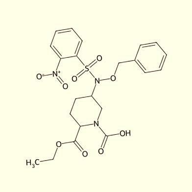 CCOC(=O)C1CCC(N(OCc2ccccc2)S(=O)(=O)c2ccccc2[N+](=O)[O-])CN1C(=O)O